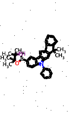 CC1(C)c2ccccc2-c2cc3c4cc(B5OC(C)(C)C(C)(C)P5)ccc4n(-c4ccccc4)c3cc21